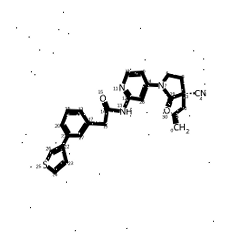 C=CC[C@]1(C#N)CCN(c2ccnc(NC(=O)Cc3cccc(-c4ccsc4)c3)c2)C1=O